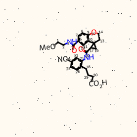 COCCNC(=O)c1ccc2c(c1)C1(CCO2)CC1C(=O)Nc1cc(C#N)ccc1CCCC(=O)O